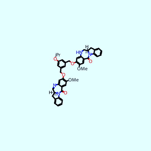 COc1cc2c(cc1OCc1cc(COc3cc4c(cc3OC)C(=O)N3c5ccccc5C[C@H]3CN4)cc(OC(C)C)c1)N=C[C@@H]1Cc3ccccc3N1C2=O